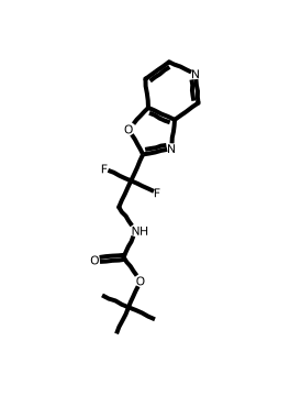 CC(C)(C)OC(=O)NCC(F)(F)c1nc2cnccc2o1